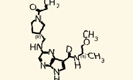 C=CC(=O)N1CC[C@H](CNc2cnc3[nH]cc(C(=O)N[C@@H](C)COC)c3n2)C1